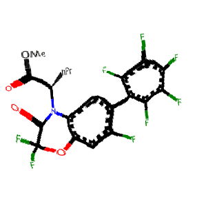 CCC[C@H](C(=O)OC)N1C(=O)C(F)(F)Oc2cc(F)c(-c3c(F)c(F)c(F)c(F)c3F)cc21